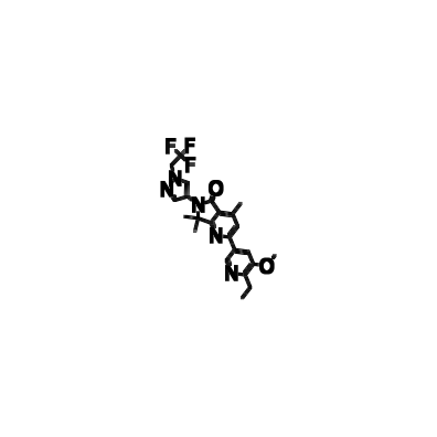 CCc1ncc(-c2cc(C)c3c(n2)C(C)(C)N(c2cnn(CC(F)(F)F)c2)C3=O)cc1OC